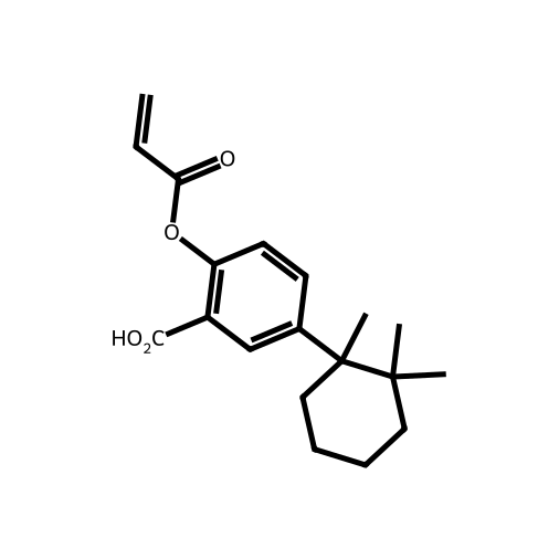 C=CC(=O)Oc1ccc(C2(C)CCCCC2(C)C)cc1C(=O)O